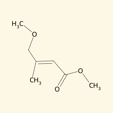 COCC(C)=CC(=O)OC